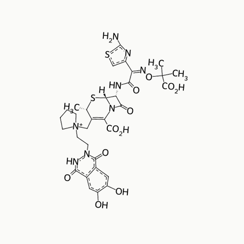 C[C@@H]1S[C@@H]2[C@H](NC(=O)/C(=N\OC(C)(C)C(=O)O)c3csc(N)n3)C(=O)N2C(C(=O)O)=C1C[N+]1(CCn2[nH]c(=O)c3cc(O)c(O)cc3c2=O)CCCC1